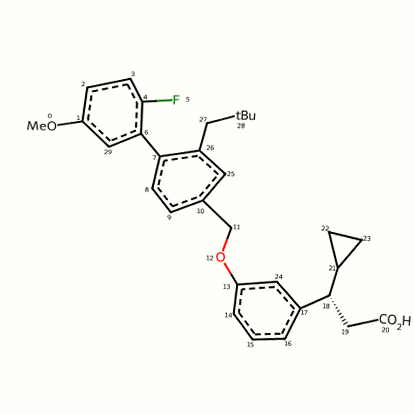 COc1ccc(F)c(-c2ccc(COc3cccc([C@@H](CC(=O)O)C4CC4)c3)cc2CC(C)(C)C)c1